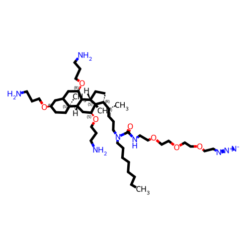 CCCCCCCCN(CCC[C@@H](C)[C@H]1CC[C@H]2C3[C@H](OCCCN)CC4C[C@H](OCCCN)CC[C@]4(C)[C@H]3C[C@H](OCCCN)C12C)C(=O)NCCOCCOCCOCCN=[N+]=[N-]